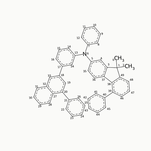 CC1(C)c2cc(N(c3ccccc3)c3cccc(-c4cc(-c5ccccc5)c5ccccc5c4)c3)ccc2-c2c(-c3ccccc3)cccc21